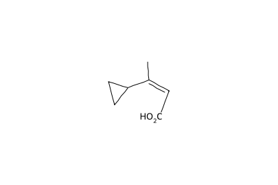 C/C(=C/C(=O)O)C1CC1